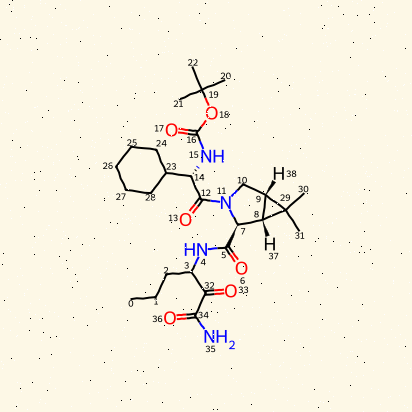 CCCC(NC(=O)[C@@H]1[C@@H]2[C@H](CN1C(=O)[C@@H](NC(=O)OC(C)(C)C)C1CCCCC1)C2(C)C)C(=O)C(N)=O